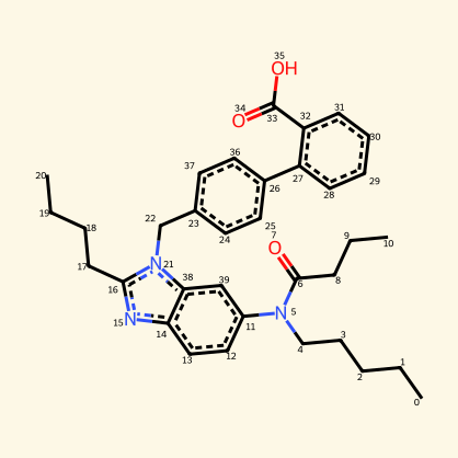 CCCCCN(C(=O)CCC)c1ccc2nc(CCCC)n(Cc3ccc(-c4ccccc4C(=O)O)cc3)c2c1